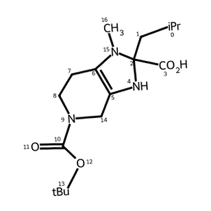 CC(C)CC1(C(=O)O)NC2=C(CCN(C(=O)OC(C)(C)C)C2)N1C